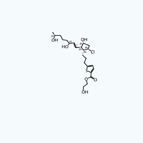 C[C@H](O)CCC[C@H](O)/C=C/[C@@H]1[C@@H](CCCc2ccc(C(=O)OCCO)s2)[C@H](Cl)C[C@H]1O